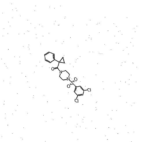 O=C(N1CCN(S(=O)(=O)c2cc(Cl)cc(Cl)c2)CC1)C1(c2ccccc2)CC1